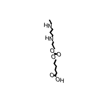 CCNCCCNCCCOC(=O)OCCCCCC(=O)O